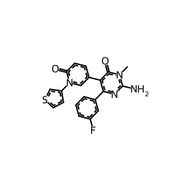 Cn1c(N)nc(-c2cccc(F)c2)c(-c2ccc(=O)n(-c3ccsc3)c2)c1=O